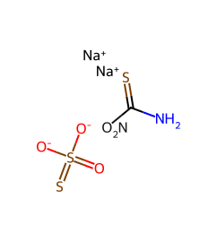 NC(=S)[N+](=O)[O-].O=S([O-])([O-])=S.[Na+].[Na+]